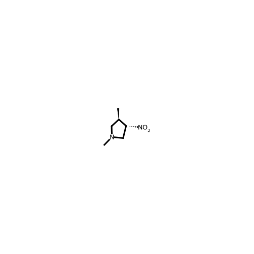 C[C@@H]1CN(C)C[C@H]1[N+](=O)[O-]